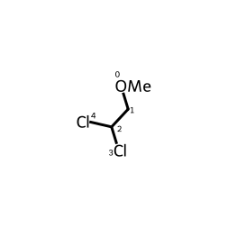 [CH2]OCC(Cl)Cl